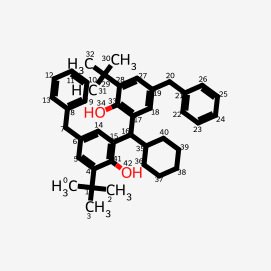 CC(C)(C)c1cc(Cc2ccccc2)cc(C(c2cc(Cc3ccccc3)cc(C(C)(C)C)c2O)C2CCCCC2)c1O